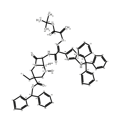 C=C(ON=C(C(=O)NC1C(=O)N2CC(CI)(C(=O)OC(c3ccccc3)c3ccccc3)C[S+]([O-])[C@H]12)c1csc(NC(c2ccccc2)(c2ccccc2)c2ccccc2)n1)C(=O)OC(C)(C)C